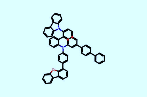 c1ccc(-c2ccc(-c3cccc(N(c4ccc(-c5cccc6c5oc5ccccc56)cc4)c4ccccc4-c4ccccc4-n4c5ccccc5c5ccccc54)c3)cc2)cc1